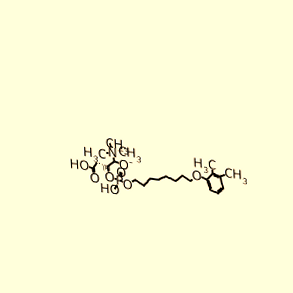 Cc1cccc(OCCCCCCCCOP(=O)(O)O[C@H](CC(=O)O)C([O-])[N+](C)(C)C)c1C